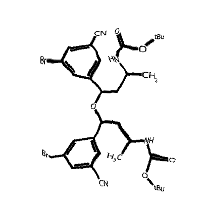 CC(CC(OC(CC(C)NC(=O)OC(C)(C)C)c1cc(Br)cc(C#N)c1)c1cc(Br)cc(C#N)c1)NC(=O)OC(C)(C)C